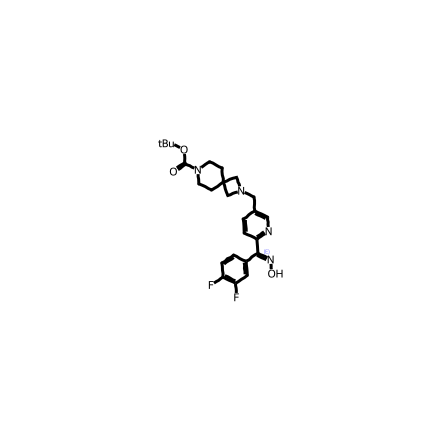 CC(C)(C)OC(=O)N1CCC2(CC1)CN(Cc1ccc(/C(=N/O)c3ccc(F)c(F)c3)nc1)C2